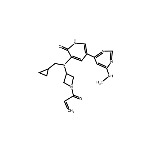 C=CC(=O)N1CC(N(CC2CC2)c2cc(-c3cc(NC)ncn3)c[nH]c2=O)C1